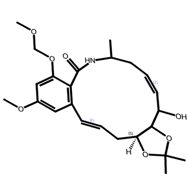 COCOc1cc(OC)cc2c1C(=O)NC(C)C/C=C\C(O)C1OC(C)(C)O[C@H]1C/C=C/2